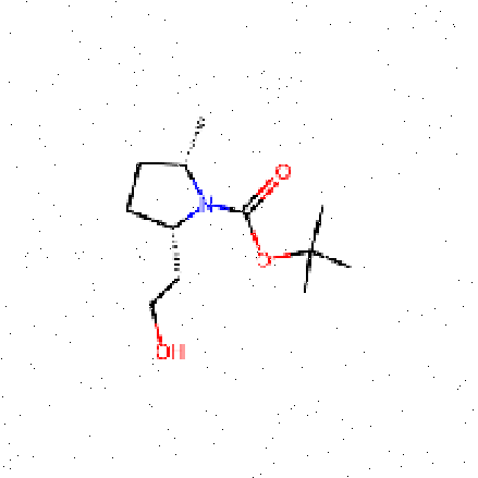 C[C@H]1CC[C@@H](CCO)N1C(=O)OC(C)(C)C